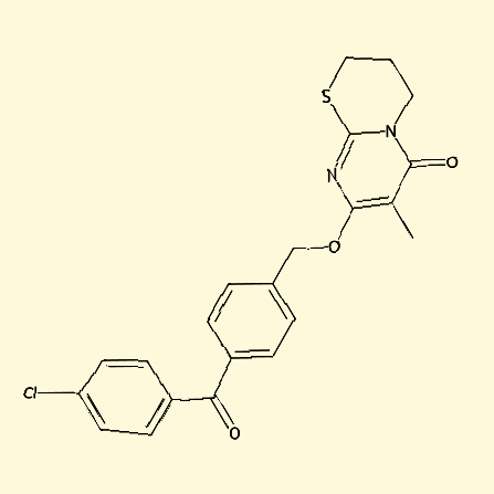 Cc1c(OCc2ccc(C(=O)c3ccc(Cl)cc3)cc2)nc2n(c1=O)CCCS2